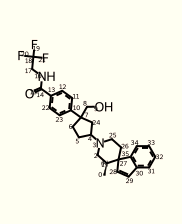 C[C@H]1CN(C2CCC(CO)(c3ccc(C(=O)NCC(F)(F)F)cc3)C2)CCC12C=Cc1ccccc12